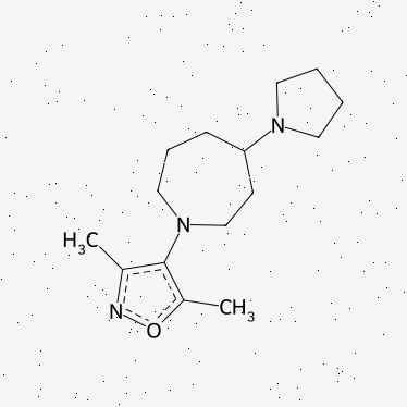 Cc1noc(C)c1N1CCCC(N2CCCC2)CC1